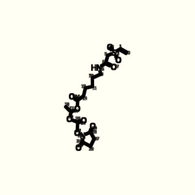 C=CS(=O)(=O)CC(=O)NCCCCCC(=O)OC(C)OC(=O)ON1C(=O)CCC1=O